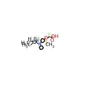 CCCCC1(CCCC)CN(c2ccccc2)c2cc(SC)c(O/C=C(\F)C(=O)O)cc2SN1C